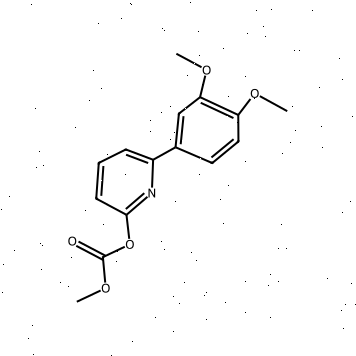 COC(=O)Oc1cccc(-c2ccc(OC)c(OC)c2)n1